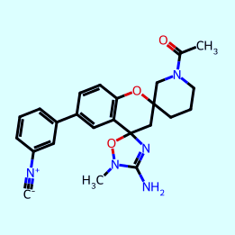 [C-]#[N+]c1cccc(-c2ccc3c(c2)C2(CC4(CCCN(C(C)=O)C4)O3)N=C(N)N(C)O2)c1